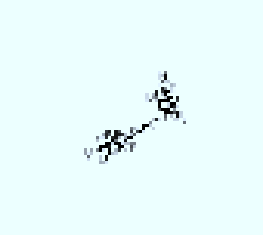 CCC1CC(OCOCCOCOC2(C(F)(F)F)CC(CC)C(F)(C(C)(F)F)C2(F)F)(C(F)(F)F)C(F)(F)C1(F)C(C)(F)F